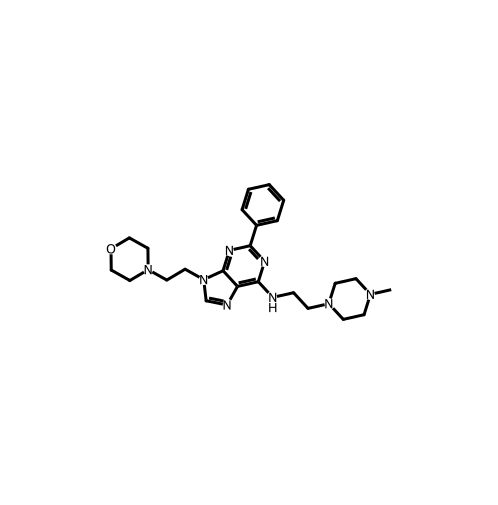 CN1CCN(CCNc2nc(-c3ccccc3)nc3c2ncn3CCN2CCOCC2)CC1